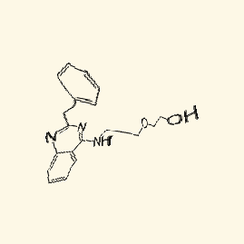 OCCOCCNc1nc(Cc2ccccc2)nc2ccccc12